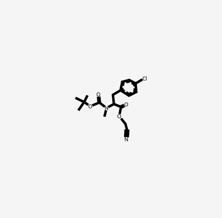 CN(C(=O)OC(C)(C)C)C(Cc1ccc(Cl)cc1)C(=O)OCC#N